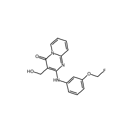 O=c1c(CO)c(Nc2cccc(OCF)c2)nc2ccccn12